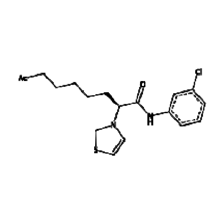 CC(=O)CCCCC[C@@H](C(=O)Nc1cccc(Cl)c1)N1C=CSC1